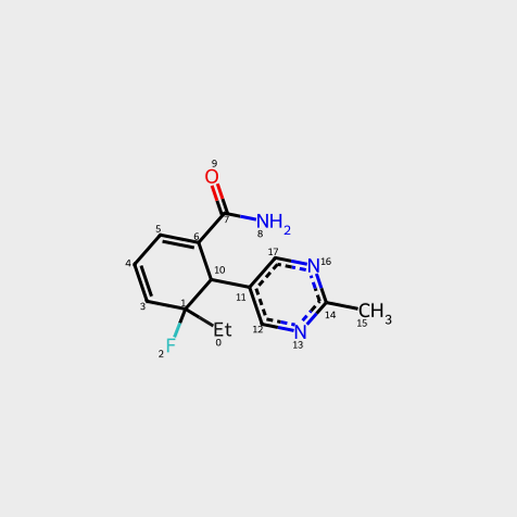 CCC1(F)C=CC=C(C(N)=O)C1c1cnc(C)nc1